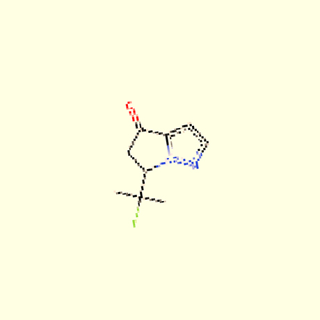 CC(C)(F)C1CC(=O)c2ccnn21